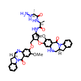 COc1cc2c(cc1OCC1=CC(NC(=O)[C@H](C)NC(=O)[C@@H](C)NN)=CC1Oc1cc3c(cc1OC)C(=O)N1c4ccccc4C[C@H]1CN3)N=C[C@@H]1Cc3ccccc3N1C2=O